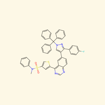 CN(c1ccccc1)S(=O)(=O)c1csc(-c2ncnc3ccc(-c4cn(C(c5ccccc5)(c5ccccc5)c5ccccc5)nc4-c4ccc(F)cc4)cc23)c1